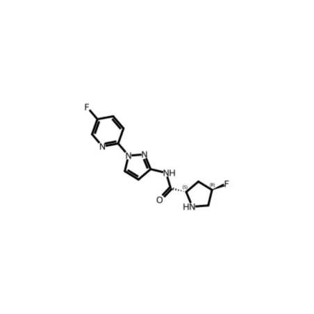 O=C(Nc1ccn(-c2ccc(F)cn2)n1)[C@@H]1C[C@@H](F)CN1